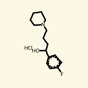 Cl.OC(CCCN1CCCCC1)c1ccc(F)cc1